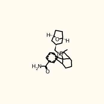 COC1(c2cccc(C(N)=O)c2)C2CCCC1CN(C[C@H]1C[C@H]3CC[C@@H](C1)O3)C2